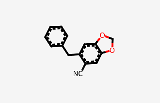 N#Cc1cc2c(cc1Cc1ccccc1)OCO2